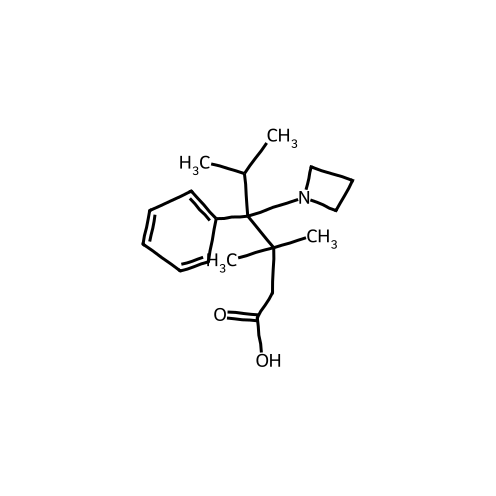 CC(C)C(c1ccccc1)(N1CCC1)C(C)(C)CC(=O)O